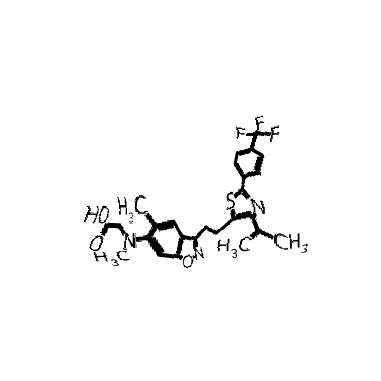 Cc1cc2c(CCc3sc(-c4ccc(C(F)(F)F)cc4)nc3C(C)C)noc2cc1N(C)CC(=O)O